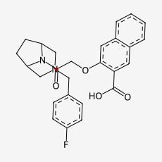 O=C(O)c1cc2ccccc2cc1OCC(=O)N1C2CCC1CN(Cc1ccc(F)cc1)C2